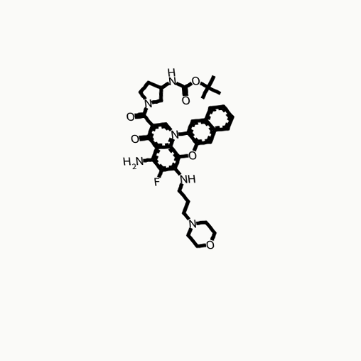 CC(C)(C)OC(=O)NC1CCN(C(=O)c2cn3c4c(c(NCCCN5CCOCC5)c(F)c(N)c4c2=O)Oc2cc4ccccc4cc2-3)C1